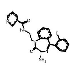 N[C@H]1N=C(c2ccccc2F)c2ccccc2N(CCNC(=O)c2cccnc2)C1=O